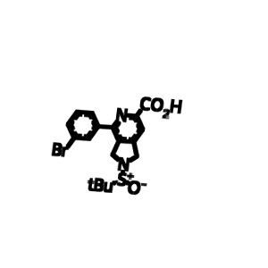 CC(C)(C)[S@+]([O-])N1Cc2cc(C(=O)O)nc(-c3cccc(Br)c3)c2C1